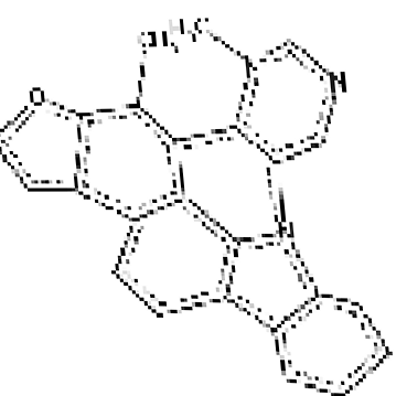 Cc1c2occc2c2ccc3c4ccccc4n4c5cnc[n+](C)c5c1c2c34